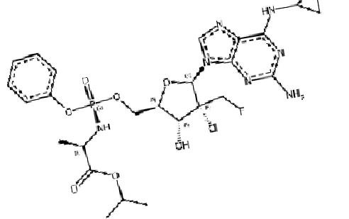 CC(C)OC(=O)[C@@H](C)N[P@@](=O)(OC[C@H]1O[C@@H](n2cnc3c(NC4CC4)nc(N)nc32)[C@@](Cl)(CF)[C@@H]1O)Oc1ccccc1